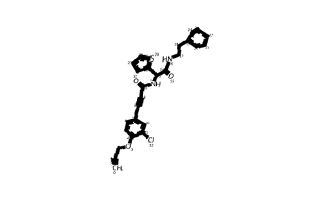 C#CCOc1ccc(C#CC(=O)NC(C(=O)NCCc2ccccc2)c2cccs2)cc1Cl